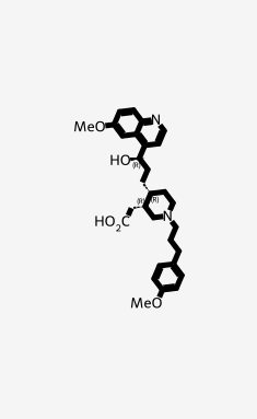 COc1ccc(CCCN2CC[C@@H](CC[C@@H](O)c3ccnc4ccc(OC)cc34)[C@@H](CC(=O)O)C2)cc1